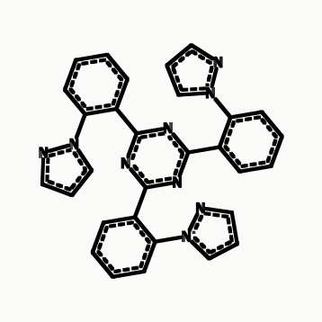 c1ccc(-n2cccn2)c(-c2nc(-c3ccccc3-n3cccn3)nc(-c3ccccc3-n3cccn3)n2)c1